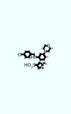 Clc1ccc(CNc2cccc(N3CCOCC3)c2)cc1.Cn1cc(S(=O)(=O)O)cn1